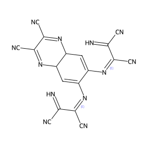 N#CC(=N)/C(C#N)=N\C1=CC2N=C(C#N)C(C#N)=NC2C=C1/N=C(/C#N)C(=N)C#N